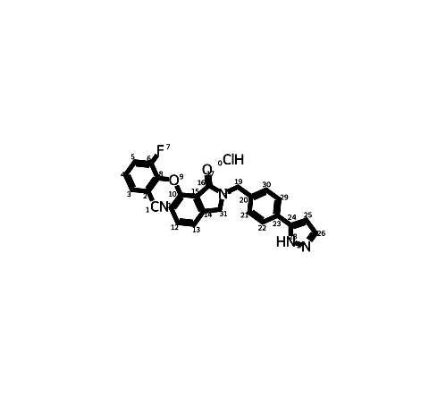 Cl.N#Cc1cccc(F)c1Oc1cccc2c1C(=O)N(Cc1ccc(-c3ccn[nH]3)cc1)C2